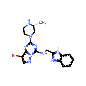 C[C@@H]1CN(c2nc(NCc3nc4ccccc4[nH]3)n3ncc(Br)c3n2)CCN1